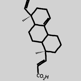 C=C[C@@]1(C)CCC=C2C3CCC[C@@](C)(/C=C/C(=O)O)C3CCC21